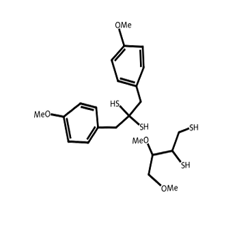 COCC(OC)C(S)CS.COc1ccc(CC(S)(S)Cc2ccc(OC)cc2)cc1